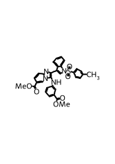 COC(=O)c1cccc(Nc2c(-c3cn(S(=O)(=O)c4ccc(C)cc4)c4ccccc34)nc3ccc(C(=O)OC)cn23)c1